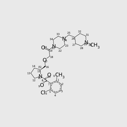 Cc1cccc(Cl)c1S(=O)(=O)N1CCC[C@H]1COCC(=O)N1CCN(CC2CCN(C)CC2)CC1